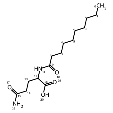 CCCCCCCCCC(=O)NC(CCC(N)=O)C(=O)O